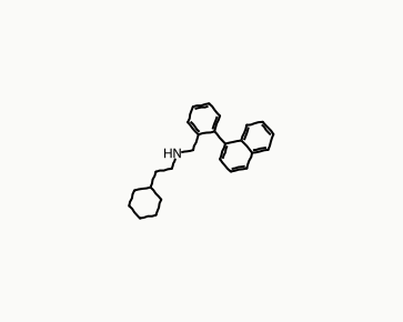 c1ccc(-c2cccc3ccccc23)c(CNCCC2CCCCC2)c1